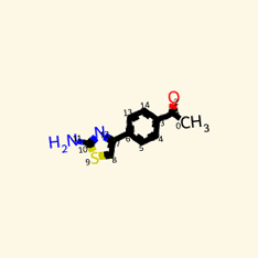 CC(=O)c1ccc(-c2csc(N)n2)cc1